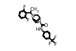 CC(c1c(F)cccc1F)N1CC2CC1CN2C(=O)Nc1ccc(C(F)(F)F)cc1